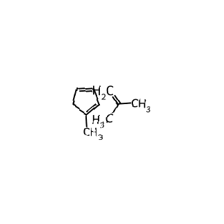 C=C(C)C.CC1=CC=CC1